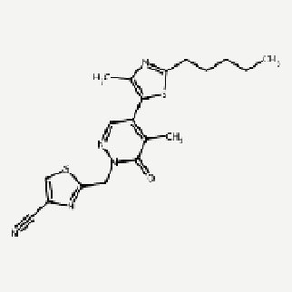 CCCCCc1nc(C)c(-c2cnn(Cc3nc(C#N)cs3)c(=O)c2C)s1